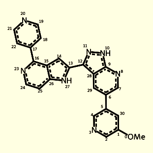 COc1cncc(-c2cnc3[nH]nc(-c4cc5c(-c6ccncc6)nccc5[nH]4)c3c2)c1